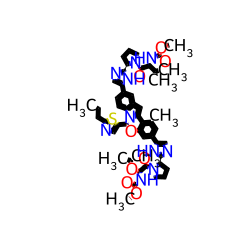 CCCc1ncc(C2Oc3cc(-c4cnc([C@@H]5CCCN5C(=O)C(NC(=O)OC)OC(C)C)[nH]4)cc(C)c3-c3cc4cc(-c5cnc([C@@H]6CCCN6C(=O)[C@@H](NC(=O)OC)C(C)C)[nH]5)ccc4n32)s1